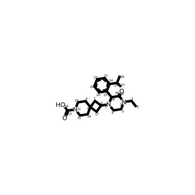 CCN1CCN(C2CC3(CCN(C(=O)O)CC3)C2)C(c2ccccc2C(C)C)C1=O